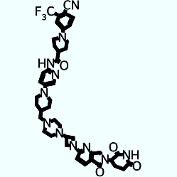 N#Cc1ccc(N2CCC(C(=O)Nc3ccc(N4CCC(CN5CCN(C6CN(c7ccc8c(n7)CN(C7CCC(=O)NC7=O)C8=O)C6)CC5)CC4)cn3)CC2)cc1C(F)(F)F